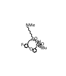 CNCCCCCCCCN1CCCc2cc(F)ccc2COc2ccccc2CNC(=NC(=O)OC(C)(C)C)NC1=O